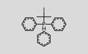 CC(C)(I)[PH](c1ccccc1)(c1ccccc1)c1ccccc1